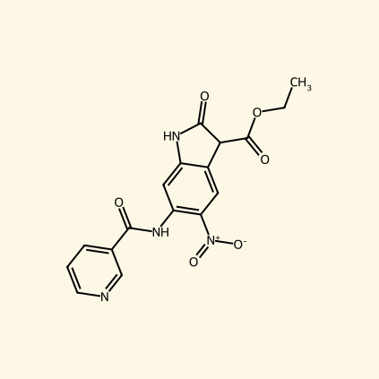 CCOC(=O)C1C(=O)Nc2cc(NC(=O)c3cccnc3)c([N+](=O)[O-])cc21